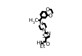 CCNC(=O)c1cnc(N2CCN(C(C)c3ccc4c(c3)OCCO4)CC2)s1